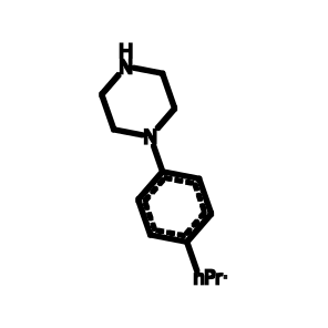 CC[CH]c1ccc(N2CCNCC2)cc1